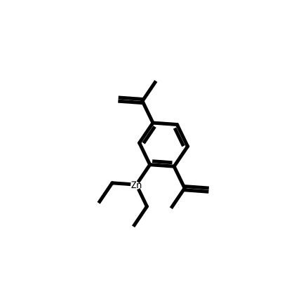 C=C(C)c1ccc(C(=C)C)[c]([Zn]([CH2]C)[CH2]C)c1